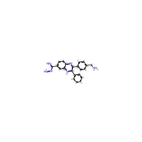 N=NC(=N)c1ccc2nc(-c3ccc(CN)cc3)c(-c3ccccc3)nc2c1